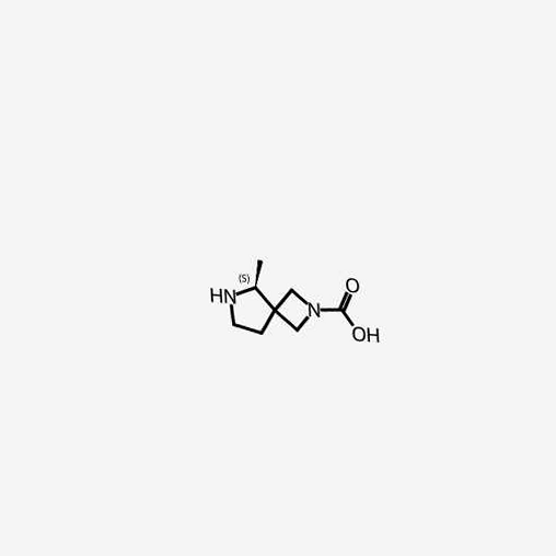 C[C@@H]1NCCC12CN(C(=O)O)C2